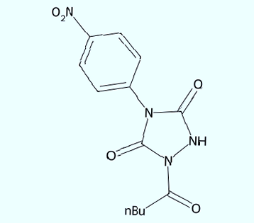 CCCCC(=O)n1[nH]c(=O)n(-c2ccc([N+](=O)[O-])cc2)c1=O